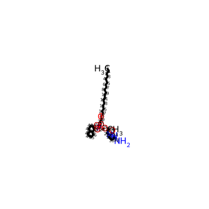 CCCCCCCCCCCCCCCCCCOCCOP(=O)(COC(C)Cn1ccc(N)nc1=O)Oc1cccc2ccccc12